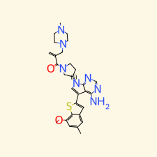 C=C(CN1CCN(C)CC1)C(=O)N1CC[C@H](n2cc(-c3cc4cc(C)cc(OC)c4s3)c3c(N)ncnc32)C1